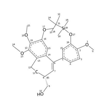 COc1ccc(C2=C[C@H](CO)CCc3c2cc(OC)c(OC)c3OC)cc1O[Si](C)(C)C(C)(C)C